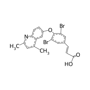 Cc1cc(C)c2cc(Oc3c(Br)cc(C=CC(=O)O)cc3Br)ccc2n1